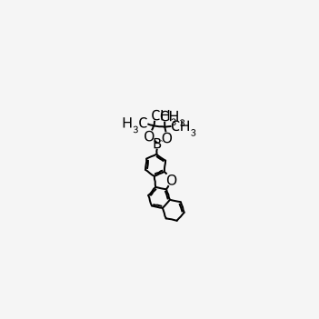 CC1(C)OB(c2ccc3c(c2)oc2c4c(ccc23)CCC=C4)OC1(C)C